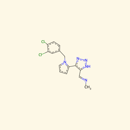 C/N=C/c1[nH]nnc1-c1cccn1Cc1ccc(Cl)c(Cl)c1